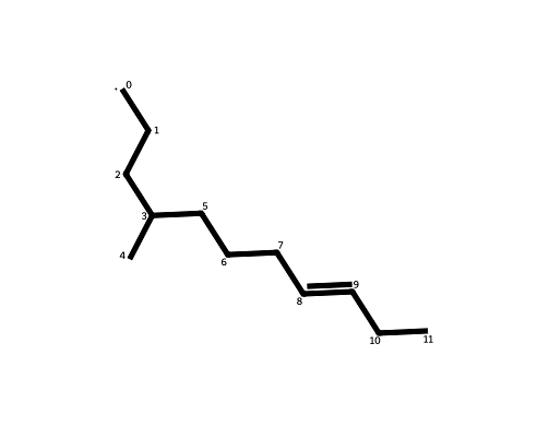 [CH2]CCC(C)CCCC=CCC